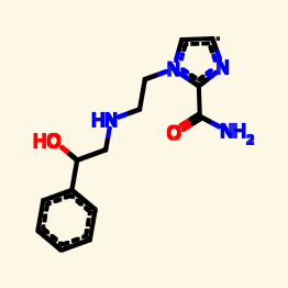 NC(=O)c1n[c]cn1CCNCC(O)c1ccccc1